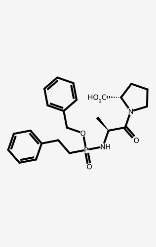 C[C@H](NP(=O)(CCc1ccccc1)OCc1ccccc1)C(=O)N1CCC[C@H]1C(=O)O